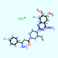 CCC1CN(C(=O)CC(N)c2ccc(F)cc2)CCN1c1nc(N)c2cc(OC)c(OC)c(F)c2n1.Cl